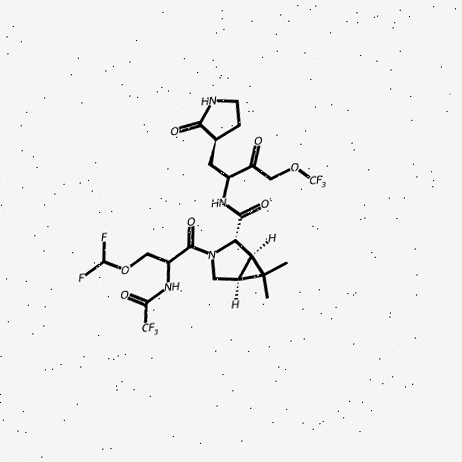 CC1(C)[C@@H]2[C@@H](C(=O)NC(C[C@@H]3CCNC3=O)C(=O)COC(F)(F)F)N(C(=O)C(COC(F)F)NC(=O)C(F)(F)F)C[C@@H]21